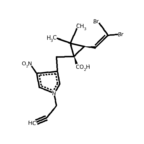 C#CCn1cc(C[C@@]2(C(=O)O)[C@H](C=C(Br)Br)C2(C)C)c([N+](=O)[O-])c1